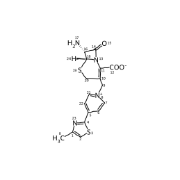 Cc1csc(-c2cc[n+](CC3=C(C(=O)[O-])N4C(=O)[C@@H](N)[C@H]4SC3)cc2)n1